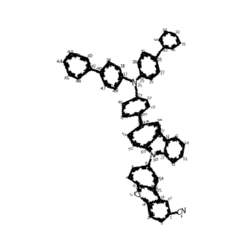 N#Cc1ccc2oc3ccc(-n4c5ccccc5c5cc(-c6ccc(N(c7ccc(-c8ccccc8)cc7)c7ccc(-c8ccccc8)cc7)cc6)ccc54)cc3c2c1